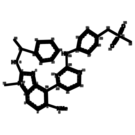 CNc1ccc2c(nc(NC(C)c3ccccc3)n2C)c1-c1ccnc(Nc2ccc(CS(C)(=O)=O)cc2)n1